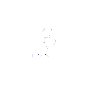 NC(=O)c1ccc2c(c1)C=CC2